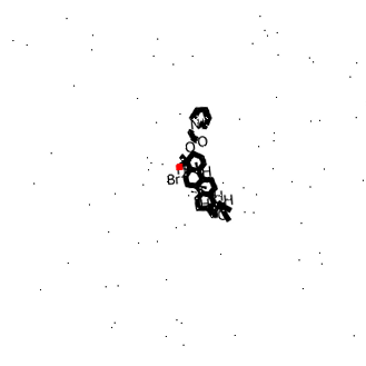 CC1(C)CC[C@]23CC[C@]4(C)[C@H](CC[C@@H]5[C@@]6(C)CC[C@H](OC(=O)C[n+]7ccccc7)C(C)(C)[C@@H]6CC[C@]54C)[C@H]2[C@H]1OC3.[Br-]